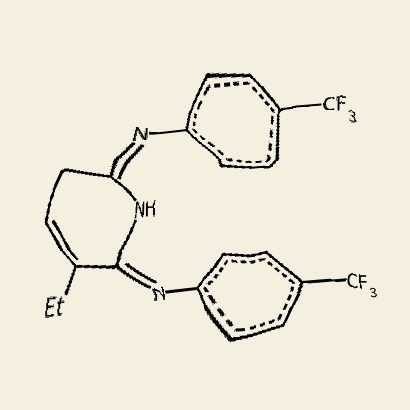 CCC1=CCC(=Nc2ccc(C(F)(F)F)cc2)NC1=Nc1ccc(C(F)(F)F)cc1